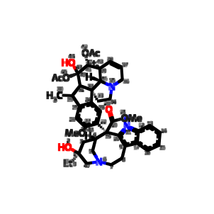 CC[C@]1(O)C[C@H]2CN(CCc3c([nH]c4ccccc34)[C@@]2(C(=O)OC)c2cc3c(cc2OC)C(C)C2[C@]34CCN3CC=C[C@@](CC)([C@@H](OC(C)=O)[C@]2(O)OC(C)=O)[C@H]34)C1